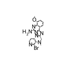 COc1cccc2c1nc(N)n1nc(CN(C)c3cccnc3Br)nc21